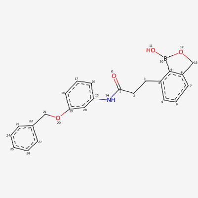 O=C(CCc1cccc2c1B(O)OC2)Nc1cccc(OCc2ccccc2)c1